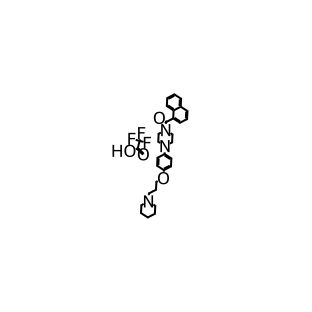 O=C(O)C(F)(F)F.O=C(c1cccc2ccccc12)N1CCN(c2ccc(OCCCN3CCCCC3)cc2)CC1